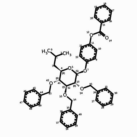 CC(C)C[C@H]1O[C@@H](Oc2ccc(OC(=O)c3ccccc3)cc2)[C@H](OCc2ccccc2)[C@@H](OCc2ccccc2)[C@@H]1OCc1ccccc1